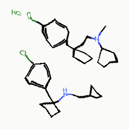 CN(CC1(c2ccc(Cl)cc2)CCC1)C1CCCC1.Cl.Clc1ccc(C2(NCC3CC3)CCC2)cc1